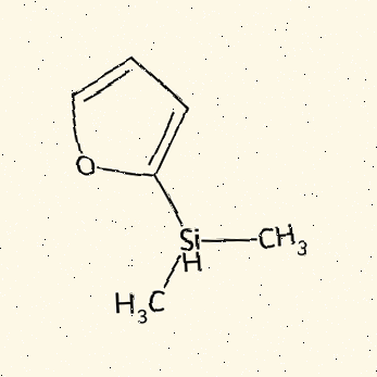 C[SiH](C)c1ccco1